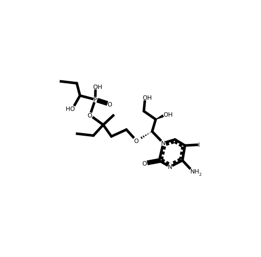 CCC(O)P(=O)(O)OC(C)(CC)CCO[C@H]([C@H](O)CO)n1cc(I)c(N)nc1=O